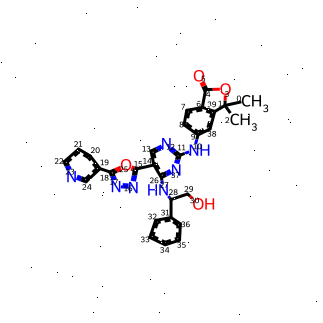 CC1(C)OC(=O)c2ccc(Nc3ncc(-c4nnc(-c5cccnc5)o4)c(NC(CO)c4ccccc4)n3)cc21